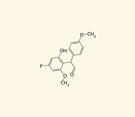 COc1ccc(C(C=O)c2c(O)cc(F)cc2OC)cc1